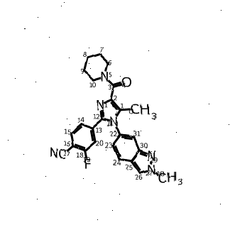 Cc1c(C(=O)N2CCCCC2)nc(-c2ccc(C#N)c(F)c2)n1-c1ccc2cn(C)nc2c1